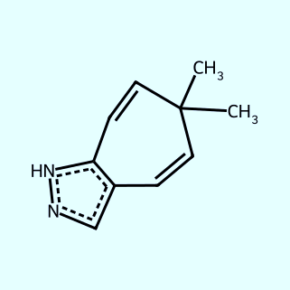 CC1(C)C=Cc2cn[nH]c2C=C1